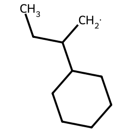 [CH2]C(CC)C1CCCCC1